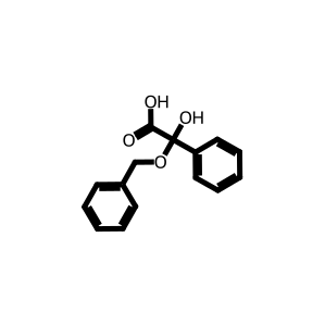 O=C(O)C(O)(OCc1ccccc1)c1ccccc1